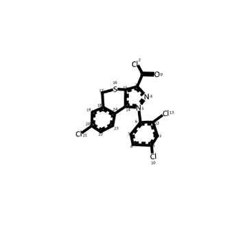 O=C(Cl)c1nn(-c2ccc(Cl)cc2Cl)c2c1SCc1cc(Cl)ccc1-2